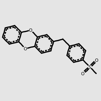 CS(=O)(=O)c1ccc([CH]c2ccc3c(c2)Oc2ccccc2O3)cc1